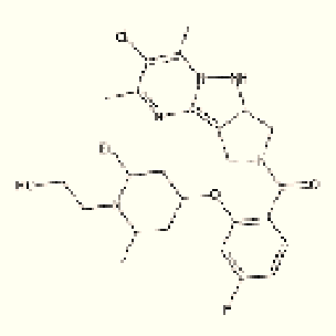 CCC1CC(Oc2cc(F)ccc2C(=O)N2CC3=C4N=C(C)C(Cl)=C(C)N4NC3C2)CC(C)N1CCO